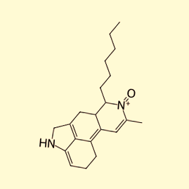 CCCCCCC1C2CC3=C4C(=CCCC4=C2C=C(C)[N+]1=O)NC3